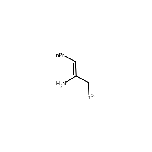 CCCC=C(N)CCCC